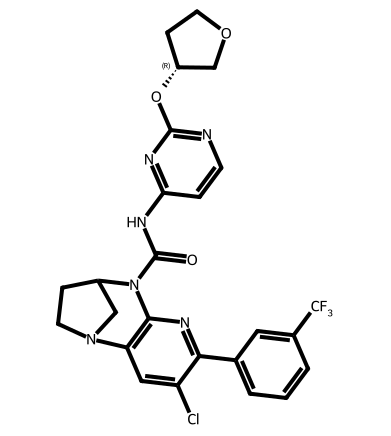 O=C(Nc1ccnc(O[C@@H]2CCOC2)n1)N1c2nc(-c3cccc(C(F)(F)F)c3)c(Cl)cc2N2CCC1C2